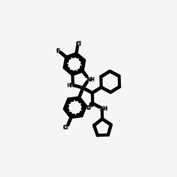 O=C(NC1CCCC1)C(C1CCCCC1)C1(c2ccc(Cl)cc2)Nc2cc(F)c(Cl)cc2N1